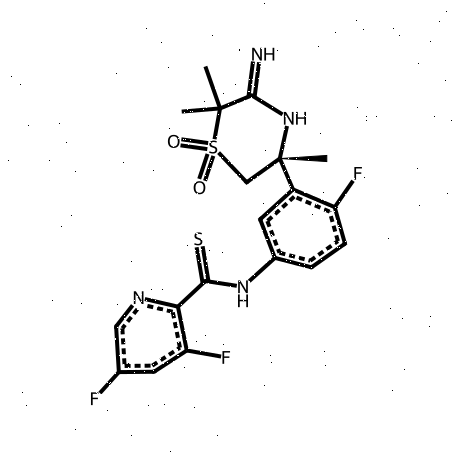 CC1(C)C(=N)N[C@](C)(c2cc(NC(=S)c3ncc(F)cc3F)ccc2F)CS1(=O)=O